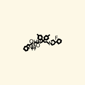 Cc1ccc(C(CCCN2CCC(c3ccccc3F)CC2)(CNC(=O)CNC(=O)c2cc3ccccc3[nH]2)c2ccc(C)cc2)cc1